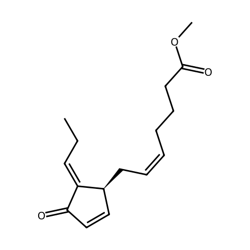 CC/C=C1/C(=O)C=C[C@@H]1C/C=C\CCCC(=O)OC